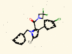 O=C(c1c(-c2ccc(Cl)cc2)cc(C(F)(F)F)n1Cc1ccccc1)N1CC(F)(F)C1